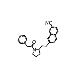 N#Cc1ccc2ccc(CCC3CCCN3C(=O)Cc3ccccc3)cc2c1